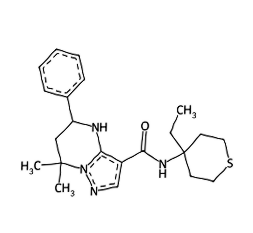 CCC1(NC(=O)c2cnn3c2NC(c2ccccc2)CC3(C)C)CCSCC1